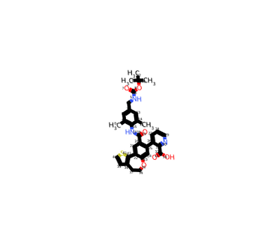 Cc1cc(CNC(=O)OC(C)(C)C)cc(C)c1NC(=O)c1cc2c(cc1-c1cccnc1C(=O)O)OCCc1ccsc1-2